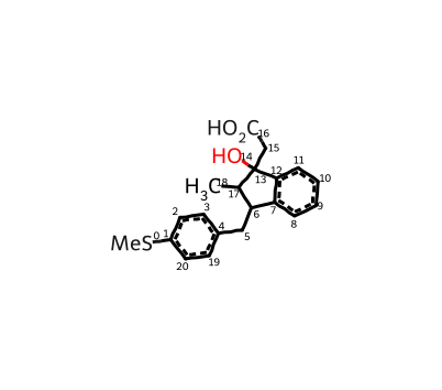 CSc1ccc(CC2c3ccccc3C(O)(CC(=O)O)C2C)cc1